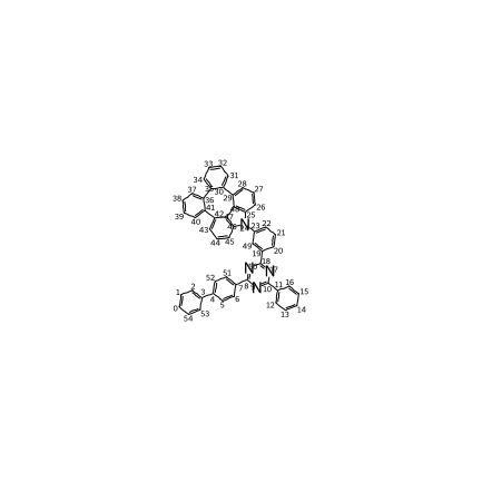 c1ccc(-c2ccc(-c3nc(-c4ccccc4)nc(-c4cccc(-n5c6cccc7c8ccccc8c8ccccc8c8cccc5c8c76)c4)n3)cc2)cc1